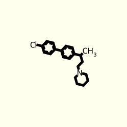 CC(CCN1CCCCC1)c1ccc(-c2ccc(Cl)cc2)cc1